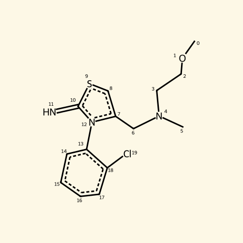 COCCN(C)Cc1csc(=N)n1-c1ccccc1Cl